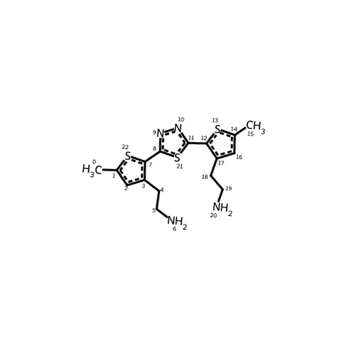 Cc1cc(CCN)c(-c2nnc(-c3sc(C)cc3CCN)s2)s1